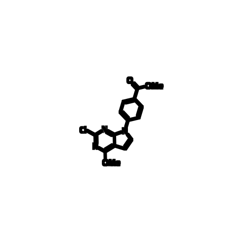 COC(=O)c1ccc(-n2ccc3c(OC)nc(Cl)nc32)cc1